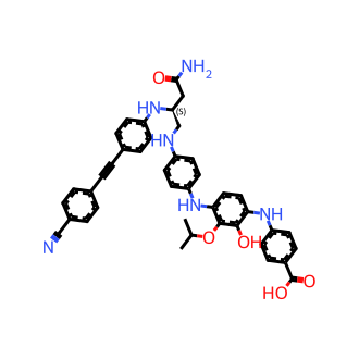 CC(C)Oc1c(Nc2ccc(NC[C@H](CC(N)=O)Nc3ccc(C#Cc4ccc(C#N)cc4)cc3)cc2)ccc(Nc2ccc(C(=O)O)cc2)c1O